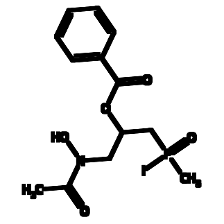 CC(=O)N(O)CC(CP(C)(=O)I)OC(=O)c1ccccc1